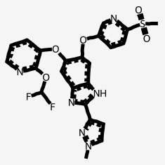 Cn1ccc(-c2nc3cc(Oc4cccnc4OC(F)F)c(Oc4ccc(S(C)(=O)=O)nc4)cc3[nH]2)n1